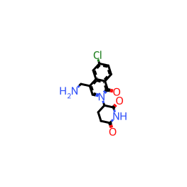 NCc1cn(C2CCC(=O)NC2=O)c(=O)c2ccc(Cl)cc12